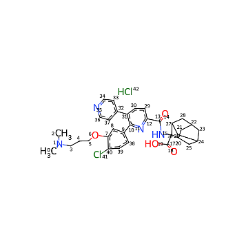 CN(C)CCCOc1cc(-c2nc(C(=O)NC3(C(=O)O)C4CC5CC(C4)CC3C5)ccc2-c2ccncc2)ccc1Cl.Cl